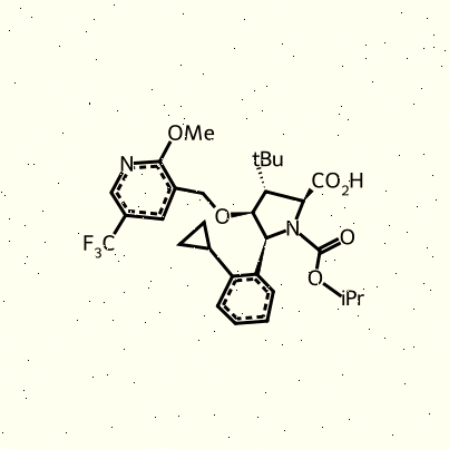 COc1ncc(C(F)(F)F)cc1CO[C@H]1[C@H](C(C)(C)C)[C@@H](C(=O)O)N(C(=O)OC(C)C)[C@H]1c1ccccc1C1CC1